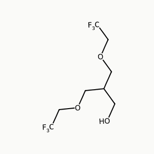 OCC(COCC(F)(F)F)COCC(F)(F)F